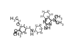 CCOc1cc(CN[C@H]2CC[C@@H](Nc3nc4c(c(N(C)C)n3)CCCC4)CC2)ccc1OC